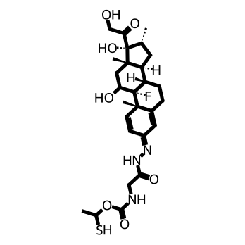 CC(S)OC(=O)NCC(=O)N/N=C1\C=C[C@@]2(C)C(=C1)CC[C@H]1[C@@H]3C[C@@H](C)[C@](O)(C(=O)CO)[C@@]3(C)CC(O)[C@@]12F